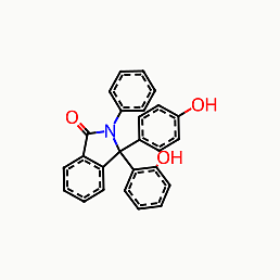 O=C1c2ccccc2C(c2ccc(O)cc2)(c2ccccc2O)N1c1ccccc1